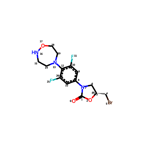 O=C1O[C@@H](CBr)CN1c1cc(F)c(N2CCNOCC2)c(F)c1